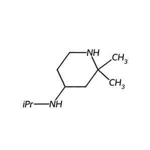 CC(C)NC1CCNC(C)(C)C1